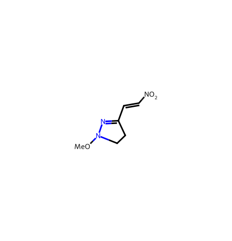 CON1CCC(C=C[N+](=O)[O-])=N1